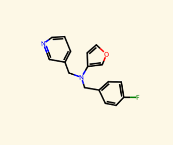 Fc1ccc(CN(Cc2cccnc2)c2ccoc2)cc1